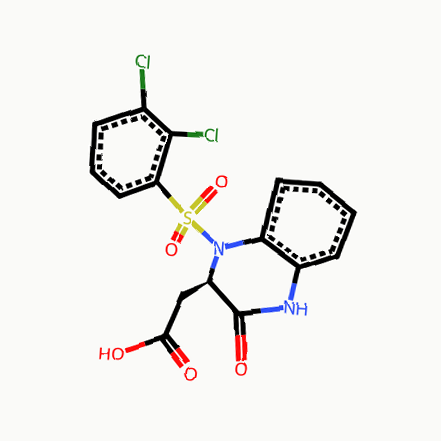 O=C(O)C[C@@H]1C(=O)Nc2ccccc2N1S(=O)(=O)c1cccc(Cl)c1Cl